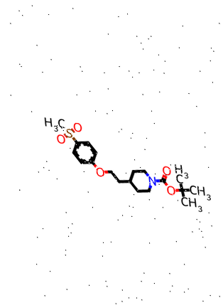 CC(C)(C)OC(=O)N1CCC(CCOc2ccc(S(C)(=O)=O)cc2)CC1